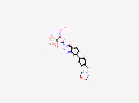 C[C@@](CCn1cnc2cc(-c3ccc(CN4CCOCC4)cc3F)ccc2c1=O)(C(=O)NO)S(C)(=O)=O